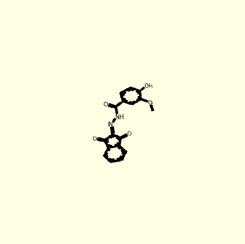 COc1cc(C(=O)NN=c2c(=O)c3ccccc3c2=O)ccc1O